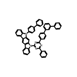 c1ccc(-c2ccc(-n3c4ccccc4c4cc5c6ccccc6n(-c6nc(-c7ccccc7)nc(-c7ccc(-c8cccc(-c9ccccc9)c8)cc7)n6)c5cc43)cc2)cc1